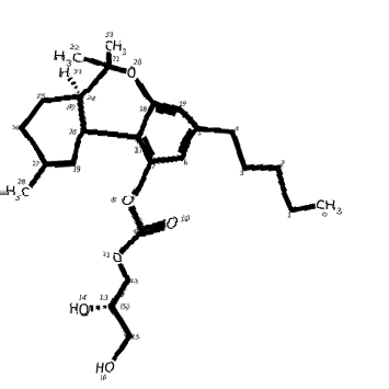 CCCCCc1cc(OC(=O)OC[C@@H](O)CO)c2c(c1)OC(C)(C)[C@@H]1CCC(C)CC21